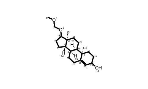 COCOC1CC[C@H]2[C@@H]3CCC4=CC(O)CC[C@]4(C)[C@@H]3CC[C@]12C